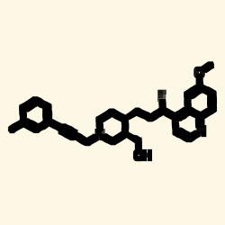 COc1ccc2nccc(C(F)CC[C@@H]3CCN(CC#Cc4cccc(C)c4)C[C@@H]3CO)c2c1